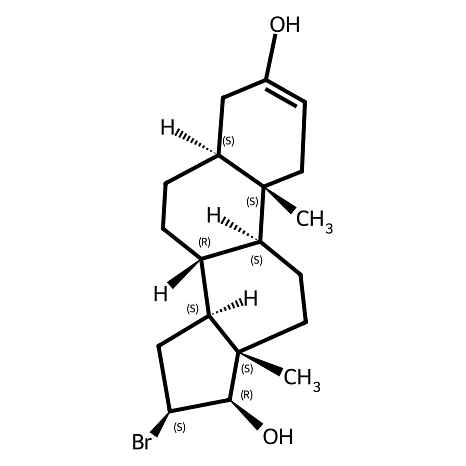 C[C@]12CC=C(O)C[C@@H]1CC[C@@H]1[C@@H]2CC[C@]2(C)[C@@H](O)[C@@H](Br)C[C@@H]12